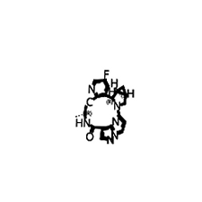 C[C@@H]1CCc2ncc(F)cc2[C@H]2[C@@H]3C[C@@H]3CN2c2ccn3ncc(c3n2)C(=O)N1